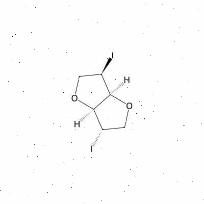 I[C@@H]1CO[C@H]2[C@@H]1OC[C@@H]2I